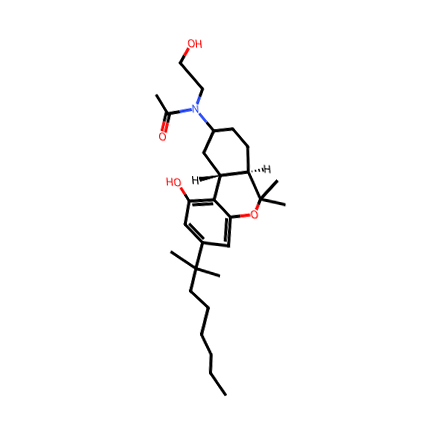 CCCCCCC(C)(C)c1cc(O)c2c(c1)OC(C)(C)[C@@H]1CCC(N(CCO)C(C)=O)C[C@@H]21